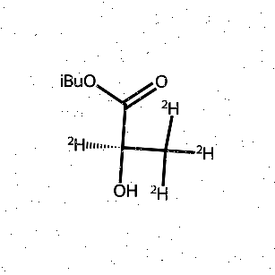 [2H]C([2H])([2H])[C@@]([2H])(O)C(=O)OCC(C)C